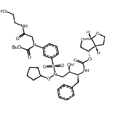 CC(C)COC(=O)N(CC(=O)NCCO)c1cccc(S(=O)(=O)N(C[C@@H](O)[C@H](Cc2ccccc2)NC(=O)O[C@@H]2CO[C@@H]3OCC[C@@H]32)OC2CCCC2)c1